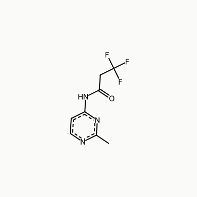 Cc1n[c]cc(NC(=O)CC(F)(F)F)n1